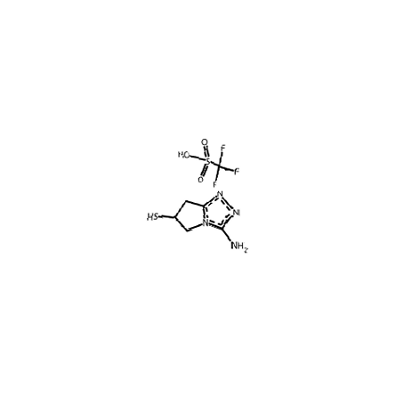 Nc1nnc2n1CC(S)C2.O=S(=O)(O)C(F)(F)F